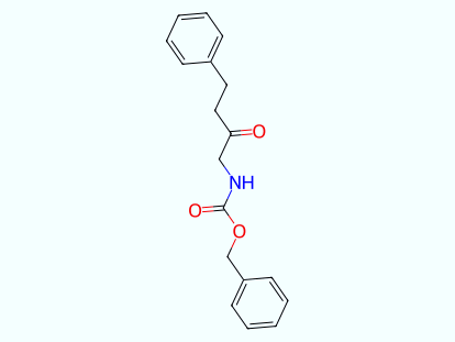 O=C(CCc1ccccc1)CNC(=O)OCc1ccccc1